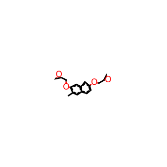 Cc1cc2ccc(OCC3CO3)cc2cc1OCC1CO1